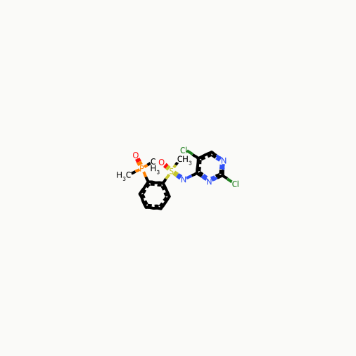 CP(C)(=O)c1ccccc1S(C)(=O)=Nc1nc(Cl)ncc1Cl